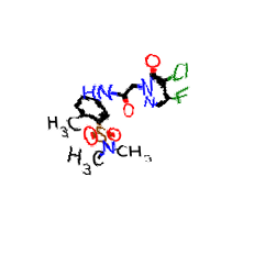 Cc1ccc(NC(=O)Cn2ncc(F)c(Cl)c2=O)cc1S(=O)(=O)N(C)C